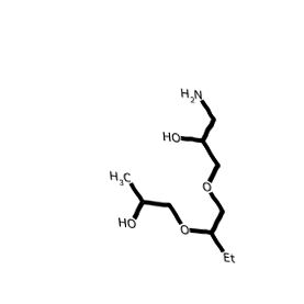 CCC(COCC(O)CN)OCC(C)O